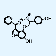 CC(C)N(C(C)C)C(COc1cc(O)cc2occ(C(=O)c3ccccc3)c12)c1ccc(O)cc1